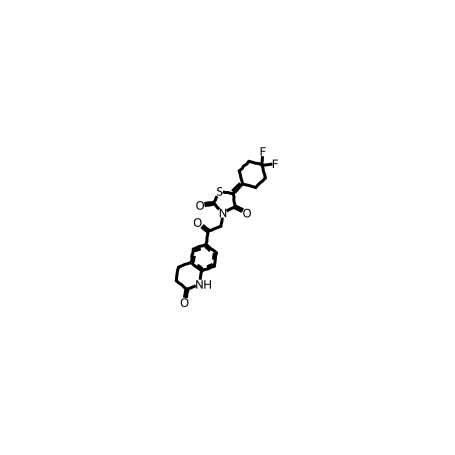 O=C1CCc2cc(C(=O)CN3C(=O)SC(=C4CCC(F)(F)CC4)C3=O)ccc2N1